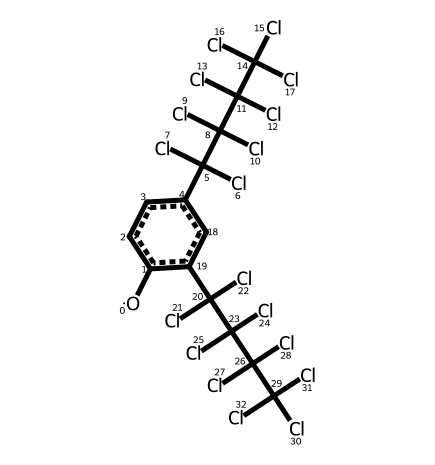 [O]c1ccc(C(Cl)(Cl)C(Cl)(Cl)C(Cl)(Cl)C(Cl)(Cl)Cl)cc1C(Cl)(Cl)C(Cl)(Cl)C(Cl)(Cl)C(Cl)(Cl)Cl